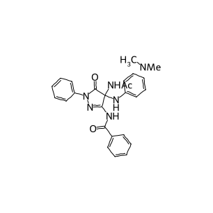 CC(=O)NC1(Nc2ccccc2)C(=O)N(c2ccccc2)N=C1NC(=O)c1ccccc1.CNC